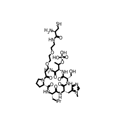 CC(C)C[C@H](NC(=O)[C@@H]1CCCN1C(=O)CCOCCOCCNC(=O)[C@@H](N)CS)C(=O)N[C@@H](Cc1cncn1C)C(=O)N[C@@H](CO)C(=O)N[C@H](C(N)=O)C(C)OP(=O)(O)O